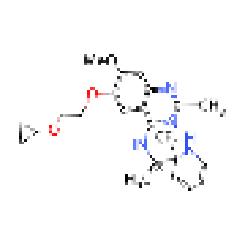 COc1cc2nc(C)nc(N[C@H](C)C3(C(F)(F)F)C=CC=CN3)c2cc1OCCOC1CC1